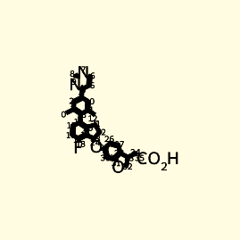 Cc1cc(-c2ccncn2)cc(C)c1-c1ccc(F)c2c1CC[C@H]2Oc1ccc2c(c1)OCC2CC(=O)O